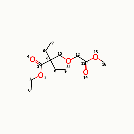 CCOC(=O)C(CC)(CC)COCC(=O)OC